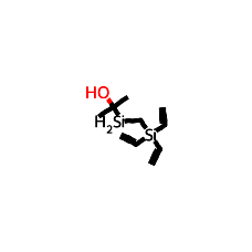 C=C[Si](C=C)(C=C)C[SiH2]C(C)(C)O